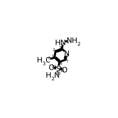 Cc1cc(NN)ncc1S(N)(=O)=O